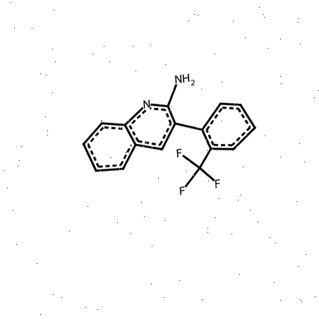 Nc1nc2[c]cccc2cc1-c1ccccc1C(F)(F)F